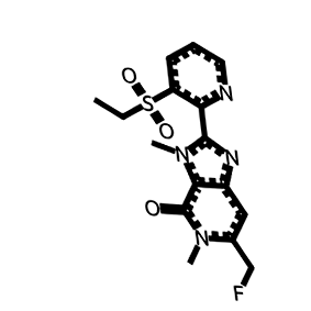 CCS(=O)(=O)c1cccnc1-c1nc2cc(CF)n(C)c(=O)c2n1C